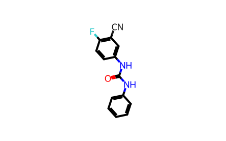 N#Cc1cc(NC(=O)Nc2ccccc2)ccc1F